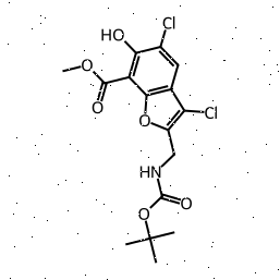 COC(=O)c1c(O)c(Cl)cc2c(Cl)c(CNC(=O)OC(C)(C)C)oc12